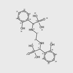 O=P(O)(O)C(NCCNC(c1ccccc1O)P(=O)(O)O)c1ccccc1O